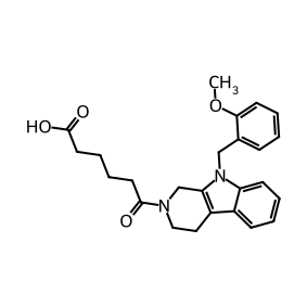 COc1ccccc1Cn1c2c(c3ccccc31)CCN(C(=O)CCCCC(=O)O)C2